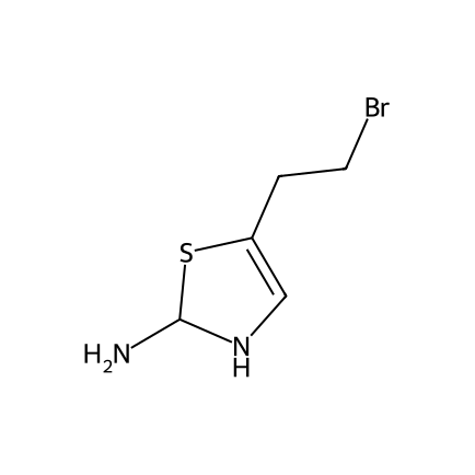 NC1NC=C(CCBr)S1